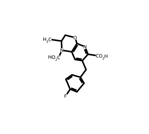 CC1COc2nc(C(=O)O)c(Cc3ccc(F)cc3)cc2N1C(=O)O